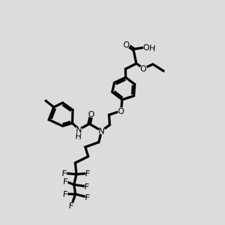 CCOC(Cc1ccc(OCCN(CCCCC(F)(F)C(F)(F)C(F)(F)F)C(=O)Nc2ccc(C)cc2)cc1)C(=O)O